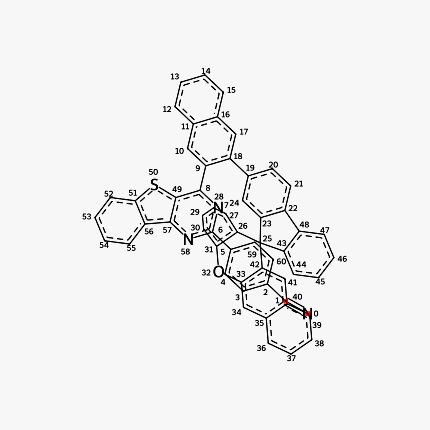 N#Cc1ccc(-c2nc(-c3cc4ccccc4cc3-c3ccc4c(c3)C3(c5ccccc5Oc5cc6ccccc6cc53)c3ccccc3-4)c3sc4ccccc4c3n2)cc1